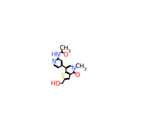 CC(=O)Nc1cc(-c2cn(C)c(=O)c3cc(CO)sc23)ccn1